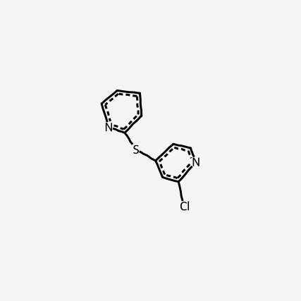 Clc1cc(Sc2ccccn2)ccn1